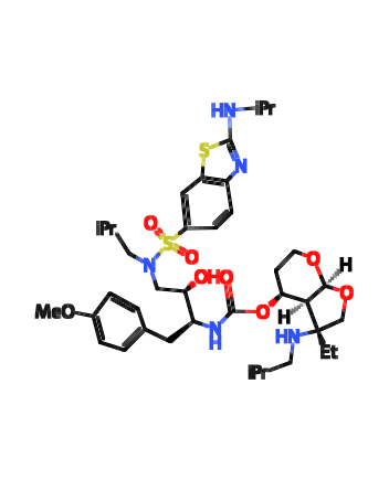 CC[C@]1(NCC(C)C)CO[C@@H]2OCC[C@H](OC(=O)N[C@@H](Cc3ccc(OC)cc3)[C@H](O)CN(CC(C)C)S(=O)(=O)c3ccc4nc(NC(C)C)sc4c3)[C@@H]21